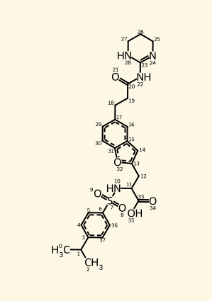 CC(C)c1ccc(S(=O)(=O)NC(Cc2cc3cc(CCC(=O)NC4=NCCCN4)ccc3o2)C(=O)O)cc1